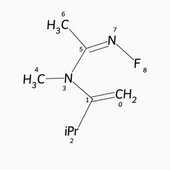 C=C(C(C)C)N(C)/C(C)=N\F